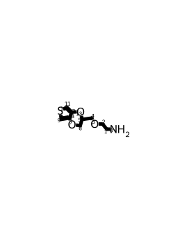 NCCOCC1COc2cscc2O1